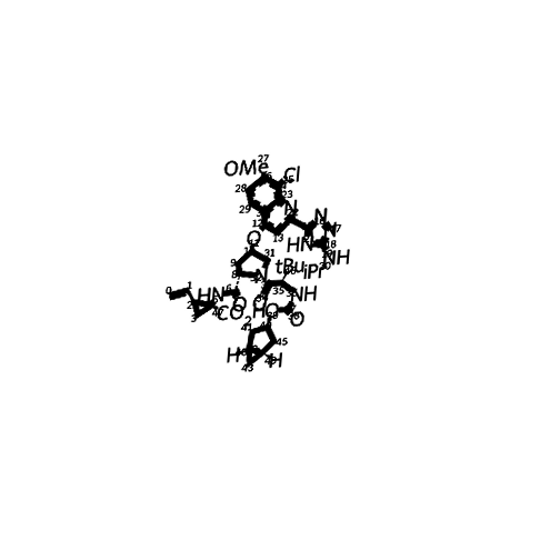 C=C[C@@H]1C[C@]1(NC(=O)[C@@H]1C[C@@H](Oc2cc(-c3nnc(NC(C)C)[nH]3)nc3c(Cl)c(OC)ccc23)CN1C(=O)[C@@H](NC(=O)O[C@@H]1C[C@@H]2C[C@@H]2C1)C(C)(C)C)C(=O)O